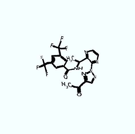 CC(=O)c1cnn(-c2nccnc2C(C)NC(=O)c2cc(C(F)(F)F)cc(C(F)(F)F)c2)n1